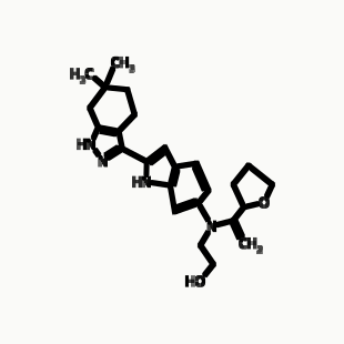 C=C(C1CCCO1)N(CCO)c1ccc2cc(-c3n[nH]c4c3CCC(C)(C)C4)[nH]c2c1